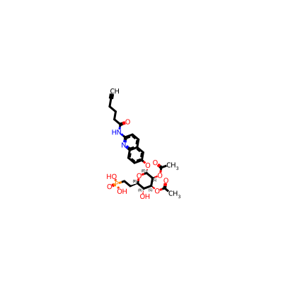 C#CCCCC(=O)Nc1ccc2cc(O[C@H]3O[C@H](CCP(=O)(O)O)[C@@H](O)[C@H](OC(C)=O)[C@@H]3OC(C)=O)ccc2n1